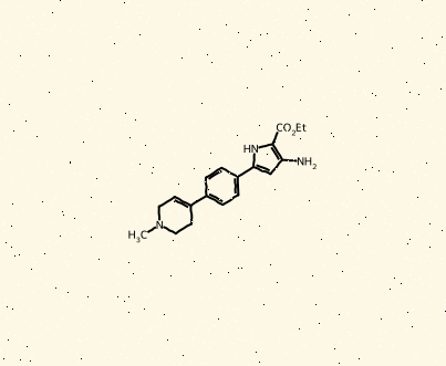 CCOC(=O)c1[nH]c(-c2ccc(C3=CCN(C)CC3)cc2)cc1N